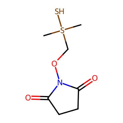 CS(C)(S)CON1C(=O)CCC1=O